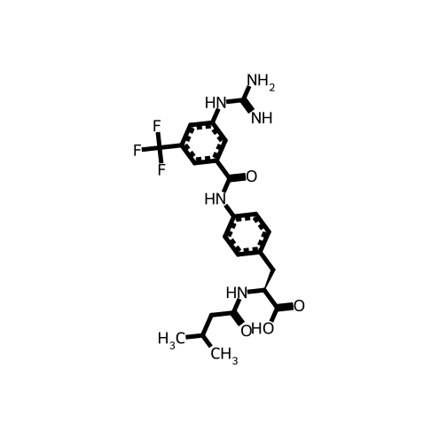 CC(C)CC(=O)N[C@@H](Cc1ccc(NC(=O)c2cc(NC(=N)N)cc(C(F)(F)F)c2)cc1)C(=O)O